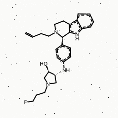 C=CCCN1CCc2c([nH]c3ccccc23)[C@H]1c1ccc(N[C@@H]2CN(CCCF)C[C@H]2O)cc1